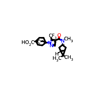 CN(C(=O)c1cnn(C23CCC(C(=O)O)(CC2)CC3)c1C(F)(F)F)[C@@H]1CC2[C@@H](C1)C2(C)C